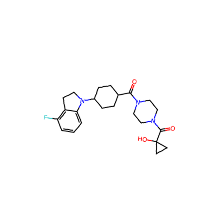 O=C(C1CCC(N2CCc3c(F)cccc32)CC1)N1CCN(C(=O)C2(O)CC2)CC1